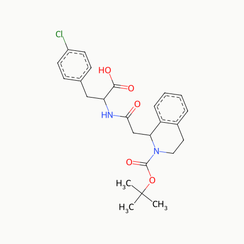 CC(C)(C)OC(=O)N1CCc2ccccc2C1CC(=O)NC(Cc1ccc(Cl)cc1)C(=O)O